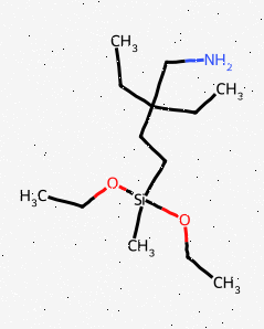 CCO[Si](C)(CCC(CC)(CC)CN)OCC